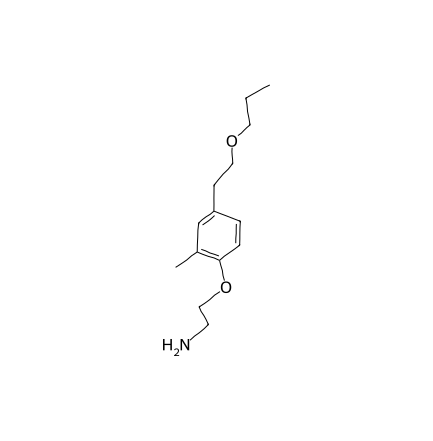 CCCOCCc1ccc(OCCN)c(C)c1